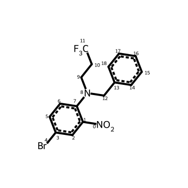 O=[N+]([O-])c1cc(Br)ccc1N(CCC(F)(F)F)Cc1ccccc1